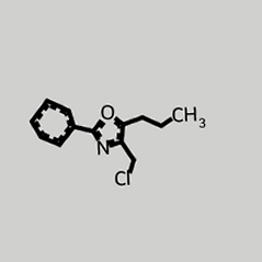 CCCc1oc(-c2ccccc2)nc1CCl